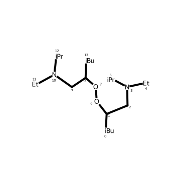 CCC(C)C(CN(CC)C(C)C)OOC(CN(CC)C(C)C)C(C)CC